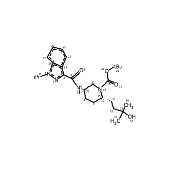 CC(C)n1nc(C(=O)N[C@H]2CC[C@@H](CCC(C)(C)O)N(C(=O)OC(C)(C)C)C2)c2ccccc21